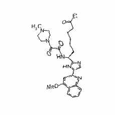 CCC(=O)CCCCC[C@H](NC(=O)C(=O)N1CCN(C)CC1)c1ncc(-c2cc(OC)c3ccccc3n2)[nH]1